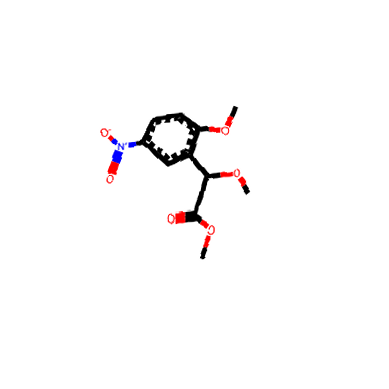 COC(=O)C(OC)c1cc([N+](=O)[O-])ccc1OC